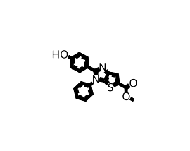 COC(=O)c1cc2nc(-c3ccc(O)cc3)n(-c3ccccc3)c2s1